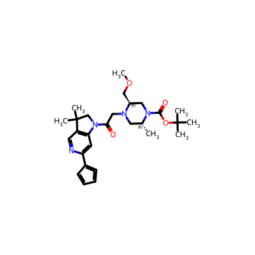 COC[C@H]1CN(C(=O)OC(C)(C)C)[C@H](C)CN1CC(=O)N1CC(C)(C)c2cnc(C3=C=CC=C3)cc21